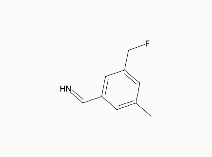 Cc1cc(C=N)cc(CF)c1